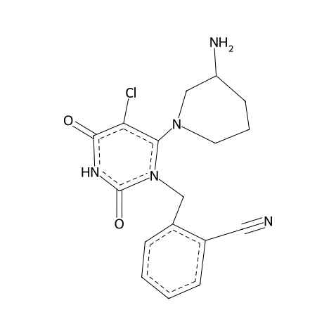 N#Cc1ccccc1Cn1c(N2CCCC(N)C2)c(Cl)c(=O)[nH]c1=O